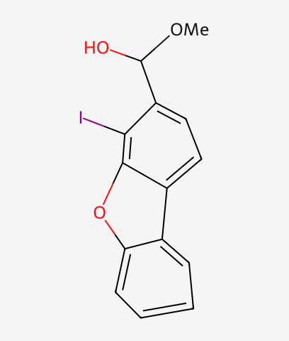 COC(O)c1ccc2c(oc3ccccc32)c1I